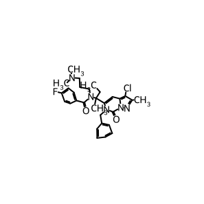 CCC(C)(c1cc2c(Cl)c(C)nn2c(=O)n1Cc1ccccc1)N(CCCN(C)C)C(=O)c1ccc(F)cc1